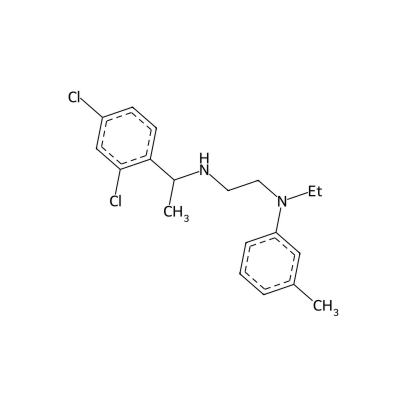 CCN(CCNC(C)c1ccc(Cl)cc1Cl)c1cccc(C)c1